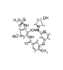 COc1c(NC(=O)c2ccc(C)c(Oc3ccnc(CN4CC[C@H](O)C4)c3)c2)cc(C(C)(C)C)cc1NS(C)(=O)=O